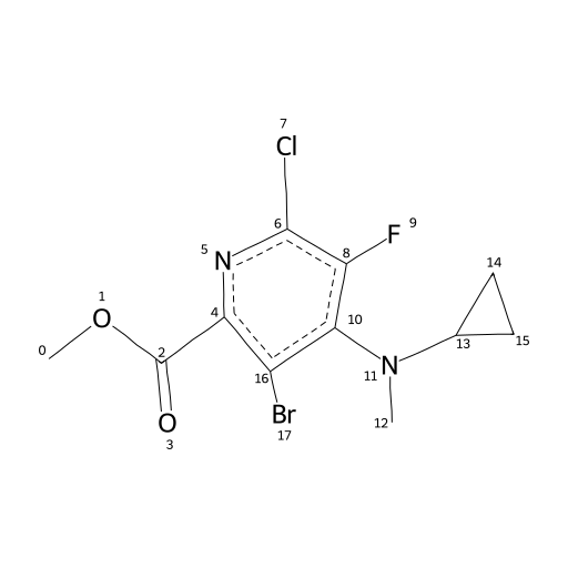 COC(=O)c1nc(Cl)c(F)c(N(C)C2CC2)c1Br